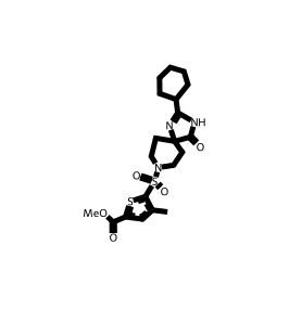 COC(=O)c1cc(C)c(S(=O)(=O)N2CCC3(CC2)N=C(C2CCCCC2)NC3=O)s1